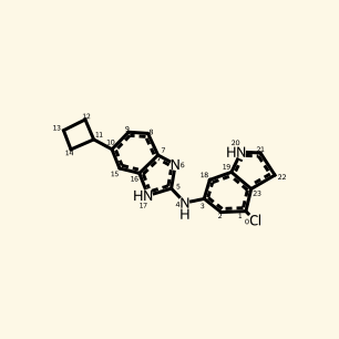 Clc1cc(Nc2nc3ccc(C4CCC4)cc3[nH]2)cc2[nH]ccc12